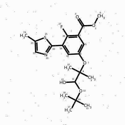 COC(=O)c1cc(OC(C)(C)C(O)OC(C)(C)C)cc(-c2ncc(C)s2)c1F